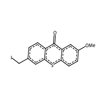 COc1ccc2sc3cc(CI)ccc3c(=O)c2c1